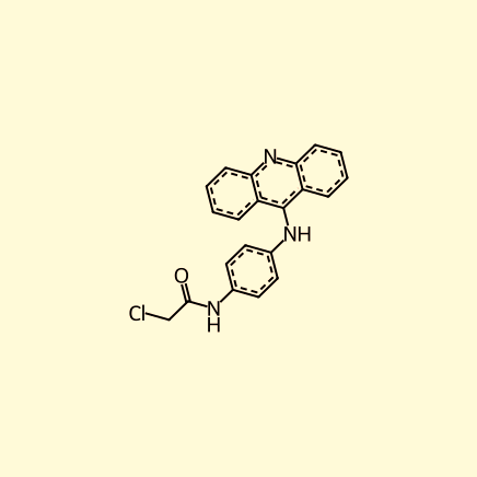 O=C(CCl)Nc1ccc(Nc2c3ccccc3nc3ccccc23)cc1